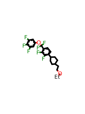 CCOCCC1CCC(c2ccc(C(F)(F)Oc3cc(F)c(F)c(F)c3)c(F)c2F)CC1